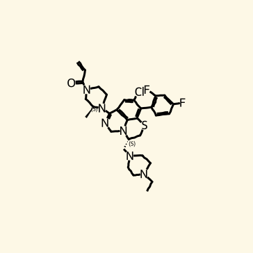 C=CC(=O)N1CCN(C2=NCN3c4c2cc(Cl)c(-c2ccc(F)cc2F)c4SC[C@@H]3CN2CCN(CC)CC2)[C@@H](C)C1